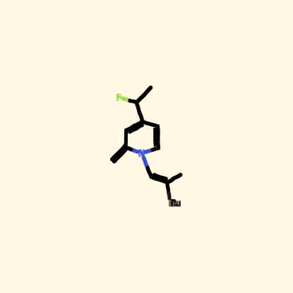 C=C1C=C(C(C)F)C=CN1/C=C(\C)C(C)CC